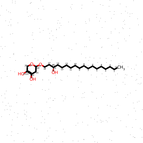 CCCCCCCCCCCCCCC[C@@H](O)CCOC1CC(O)=C(O)CO1